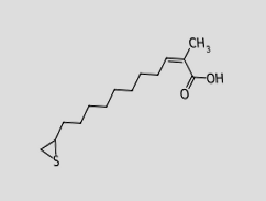 CC(=CCCCCCCCCC1CS1)C(=O)O